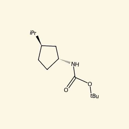 CC(C)[C@@H]1CC[C@@H](NC(=O)OC(C)(C)C)C1